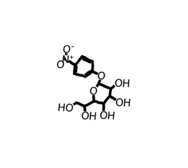 O=[N+]([O-])c1ccc(OC2OC(C(O)CO)C(O)C(O)C2O)cc1